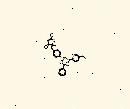 CCc1ccc([C@H](COc2ccc(CC3(C)SC(=O)CC3=O)cc2)OC(=O)c2ccccc2)nc1